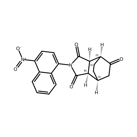 O=C1C[C@@H]2CC[C@H]1[C@@H]1C(=O)N(c3ccc([N+](=O)[O-])c4ccccc34)C(=O)[C@H]21